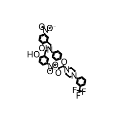 O=CC(Oc1ccc(N(Cc2cc([N+](=O)[O-])ccc2O)Cc2cc([N+](=O)[O-])ccc2O)cc1)N1CCN(c2cccc(C(F)(F)F)c2)CC1